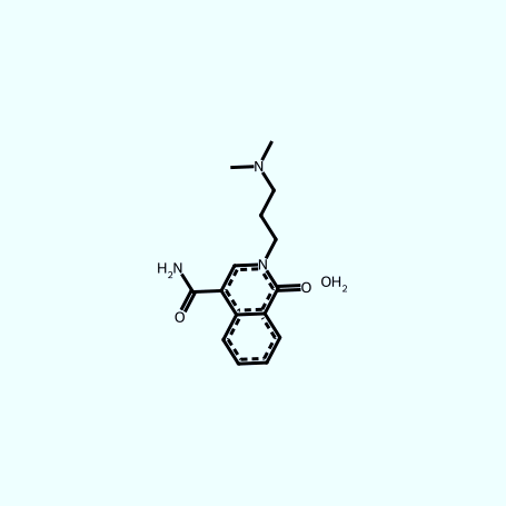 CN(C)CCCn1cc(C(N)=O)c2ccccc2c1=O.O